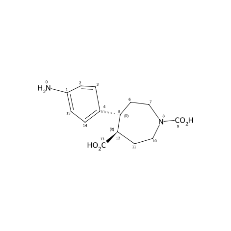 Nc1ccc([C@@H]2CCN(C(=O)O)CC[C@H]2C(=O)O)cc1